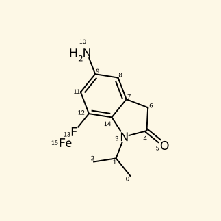 CC(C)N1C(=O)Cc2cc(N)cc(F)c21.[Fe]